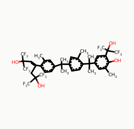 Cc1cc(C(C)(C)c2ccc(C(C)(C)c3cc(C)c(O)c(C(O)(C(F)(F)F)C(F)(F)F)c3)c(C)c2)ccc1/C(=C/C(O)(C(F)(F)F)C(F)(F)F)CC(O)(C(F)(F)F)C(F)(F)F